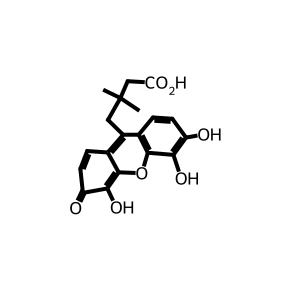 CC(C)(CC(=O)O)Cc1c2ccc(=O)c(O)c-2oc2c(O)c(O)ccc12